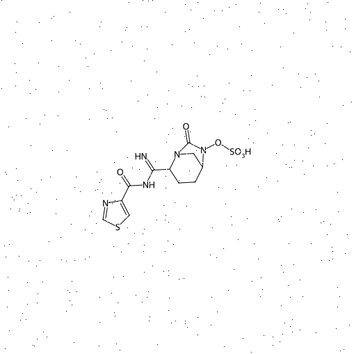 N=C(NC(=O)c1cscn1)C1CCC2CN1C(=O)N2OS(=O)(=O)O